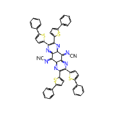 N#CN=C1c2nc(-c3ccc(-c4ccccc4)s3)c(-c3ccc(-c4ccccc4)s3)nc2C(=NC#N)c2nc(-c3ccc(-c4ccccc4)s3)c(-c3ccc(-c4ccccc4)s3)nc21